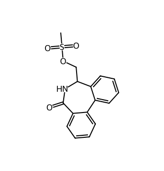 CS(=O)(=O)OCC1NC(=O)c2ccccc2-c2ccccc21